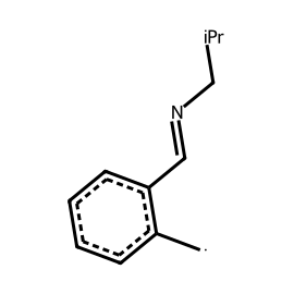 [CH2]c1ccccc1/C=N/CC(C)C